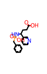 O=C(O)CCC(NP(=O)(O)Cc1ccccc1)c1cccnc1